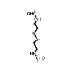 O=CNCCSSCCNC=O